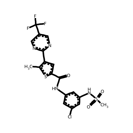 Cc1sc(C(=O)Nc2cc(Cl)cc(NS(C)(=O)=O)c2)cc1-c1ncc(C(F)(F)F)cn1